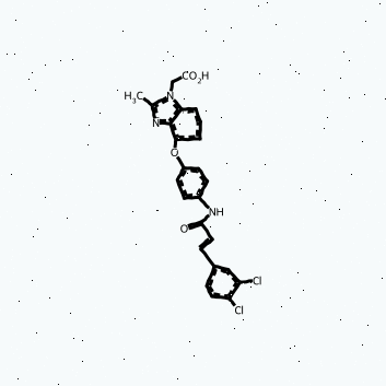 Cc1nc2c(Oc3ccc(NC(=O)/C=C/c4ccc(Cl)c(Cl)c4)cc3)cccc2n1CC(=O)O